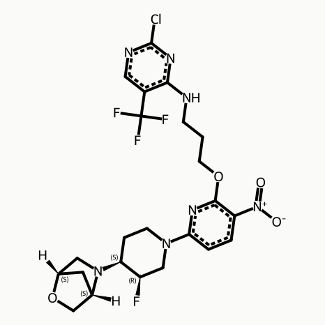 O=[N+]([O-])c1ccc(N2CC[C@H](N3C[C@@H]4C[C@H]3CO4)[C@H](F)C2)nc1OCCCNc1nc(Cl)ncc1C(F)(F)F